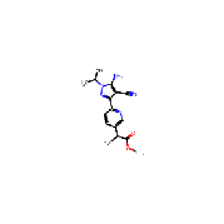 COC(=O)C(C)c1ccc(-c2nn(C(C)C)c(N)c2C#N)nc1